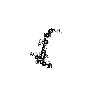 CC(=O)N[C@H](C(=O)N1CCC[C@H]1C(=O)NCc1ccc(-c2scnc2C)cc1OCCCN1CCC(CC(=O)Nc2cccc(Sc3cnc(N4CCC(C)(CN)CC4)cn3)c2Cl)CC1)C(C)(C)C